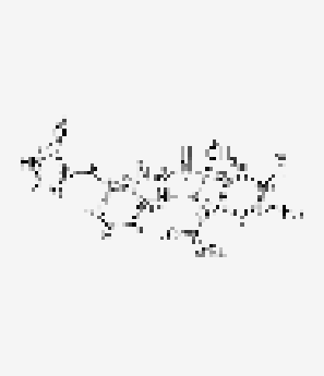 CC(C)(C)C(=O)OCC(C)(Nc1nc2c(Cn3cc[nH]c3=O)cccc2[nH]1)c1ccc(F)c(Cl)c1